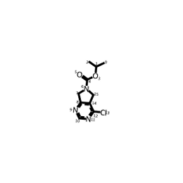 CC(C)OC(=O)N1Cc2ncnc(Cl)c2C1